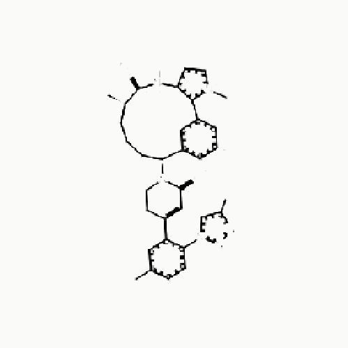 C[C@@H]1CCC[C@H](N2CCC(c3cc(Cl)ccc3-n3cc(Cl)nn3)=CC2=O)c2cccc(c2)-c2c(ccn2C)NC1=O